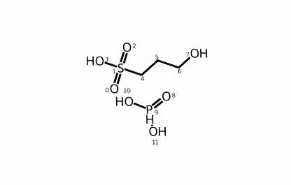 O=S(=O)(O)CCCO.O=[PH](O)O